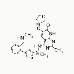 CNCc1ccccc1-c1csc([C@@H](C)Nc2nc(C)nc3[nH]c(=O)c(O[C@H]4CCOC4)cc23)c1